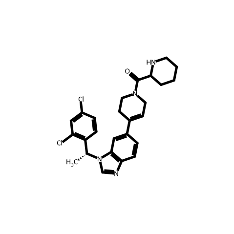 C[C@H](c1ccc(Cl)cc1Cl)n1cnc2ccc(C3=CCN(C(=O)C4CCCCN4)CC3)cc21